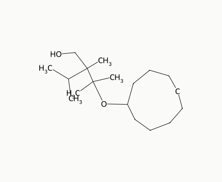 CC(C)C(C)(CO)C(C)(C)OC1CCCCCCCC1